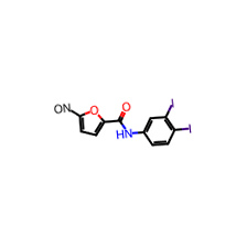 O=Nc1ccc(C(=O)Nc2ccc(I)c(I)c2)o1